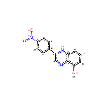 O=[N+]([O-])c1ccc(-c2cnc3c(O)cccc3n2)cc1